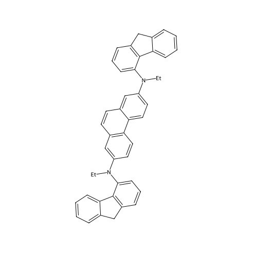 CCN(c1ccc2c(ccc3cc(N(CC)c4cccc5c4-c4ccccc4C5)ccc32)c1)c1cccc2c1-c1ccccc1C2